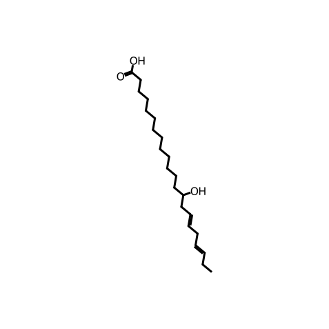 CCC=CCC=CCC(O)CCCCCCCCCCCCC(=O)O